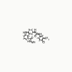 CC(C)NC(=O)c1cccc2[nH]c3c(c12)CC(NC(=O)Nc1ccc(Cl)c(C(F)(F)F)c1)CC3